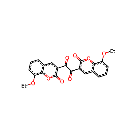 CCOc1cccc2cc(C(=O)C(=O)c3cc4cccc(OCC)c4oc3=O)c(=O)oc12